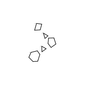 C1CCCC1.[CH]1CC1.[CH]1CC1.[CH]1CCC1.[CH]1CCCCC1